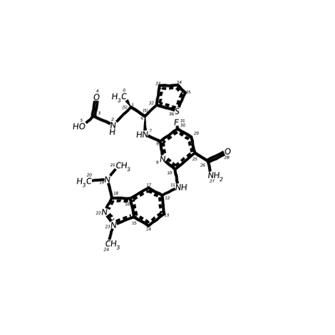 C[C@H](NC(=O)O)[C@H](Nc1nc(Nc2ccc3c(c2)c(N(C)C)nn3C)c(C(N)=O)cc1F)c1cccs1